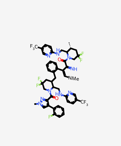 CN/C=C(\C(=N)C(=O)N1CC(F)(F)C[C@@H](C)C1CNc1ccc(C(F)(F)F)cn1)c1ccccc1CC1CC(F)(F)CN(C(=O)c2nn(C)cc2-c2ccccc2F)C1CNc1ccc(C(F)(F)F)cn1